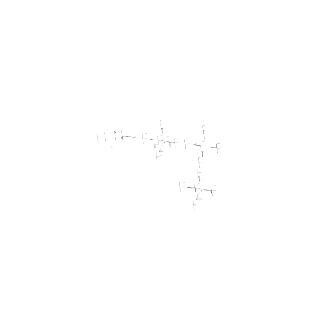 CN.F[B-](F)(F)F.F[B-](F)(F)F.F[B-](F)(F)F